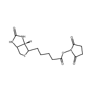 O=C1NC2CSC(CCCCC(=O)ON3C(=O)CCC3=O)[C@H]2N1